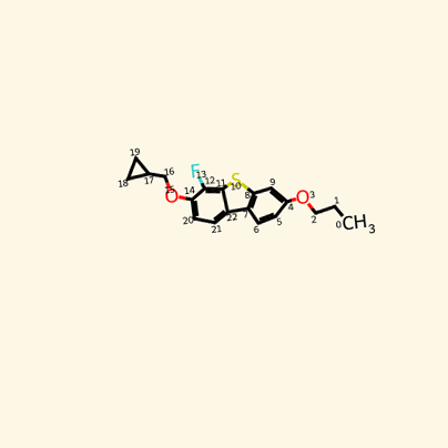 CCCOc1ccc2c(c1)sc1c(F)c(OCC3CC3)ccc12